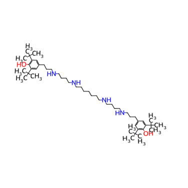 CC(C)(C)c1cc(CCCNCCCCNCCCCCCCNCCCCNCCCc2cc(C(C)(C)C)c(O)c(C(C)(C)C)c2)cc(C(C)(C)C)c1O